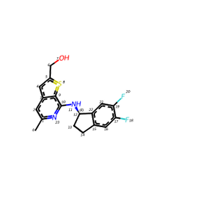 Cc1cc2cc(CO)sc2c(N[C@@H]2CCc3cc(F)c(F)cc32)n1